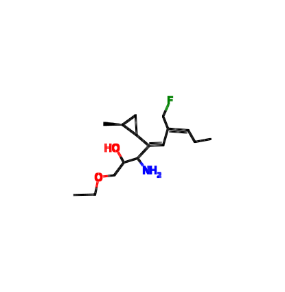 CC/C=C(\C=C(\C(N)C(O)COCC)C1C[C@@H]1C)CF